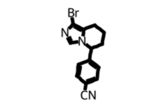 N#Cc1ccc(C2CCCc3c(Br)ncn32)cc1